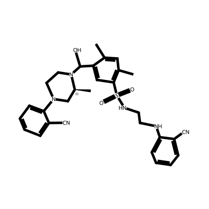 Cc1cc(C)c(S(=O)(=O)NCCNc2ccccc2C#N)cc1C(O)N1CCN(c2ccccc2C#N)C[C@@H]1C